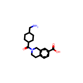 NCC1CCC(C(=O)N2CCc3ccc(C(=O)O)cc3C2)CC1